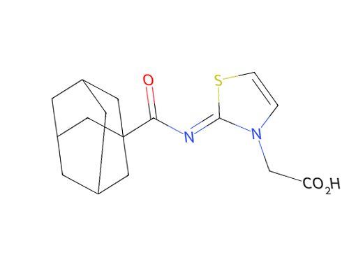 O=C(O)Cn1ccsc1=NC(=O)C12CC3CC(CC(C3)C1)C2